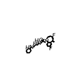 C=C1/C=C(F)\C=C/CN(CC(C)(O)CNCCCNC2CCCCC2)c2ccc(F)cc21